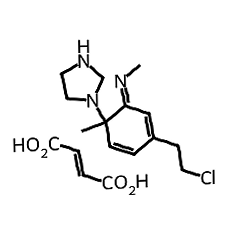 CN=C1C=C(CCCl)C=CC1(C)N1CCNC1.O=C(O)C=CC(=O)O